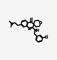 CN(C)CCc1ccc2c(c1)N=C(NCc1cccc(Cl)c1)C1(CCOCC1)N2